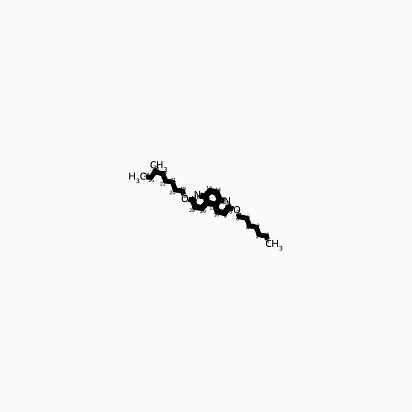 CCCCCCCOc1ccc2c(ccc3nc(OCCCCCC(C)CC)ccc32)n1